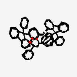 c1ccc(-c2cccc(-c3ccccc3N(c3ccc(C4(c5ccccc5)c5ccccc5-c5ccccc54)cc3)c3cccc4c3C(c3ccccc3)(c3ccccc3)c3ccccc3-4)c2)cc1